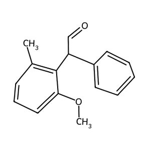 COc1cccc(C)c1C(C=O)c1ccccc1